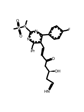 CC(C)c1nc(N(C)S(C)(=O)=O)nc(-c2ccc(F)cc2)c1/C=C/C(=O)C[C@@H](O)CC=N